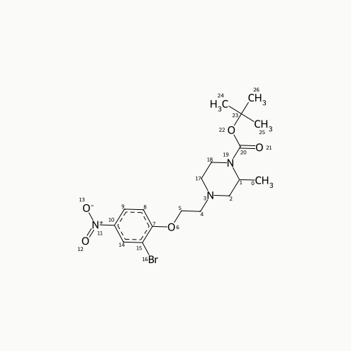 CC1CN(CCOc2ccc([N+](=O)[O-])cc2Br)CCN1C(=O)OC(C)(C)C